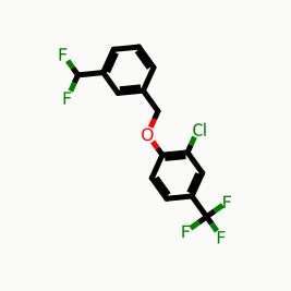 FC(F)c1cccc(COc2ccc(C(F)(F)F)cc2Cl)c1